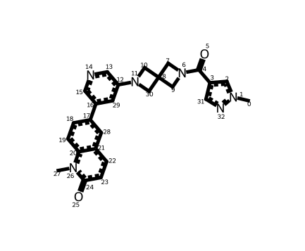 Cn1cc(C(=O)N2CC3(C2)CN(c2cncc(-c4ccc5c(ccc(=O)n5C)c4)c2)C3)cn1